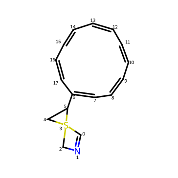 C1=NCS12CC2C1=C/C=C\C=C/C=C\C=C/C=C\1